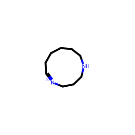 C1=N\CCCNCCCCC/1